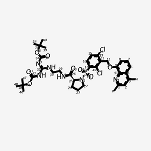 Cc1cc(C)c2cccc(OCc3c(Cl)ccc(S(=O)(=O)N4CCC[C@H]4C(=O)NCCN/C(=N\C(=O)OC(C)(C)C)NC(=O)OC(C)(C)C)c3Cl)c2n1